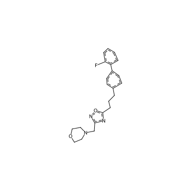 Fc1ccccc1-c1ccc(CCCc2nc(CN3CCOCC3)no2)cc1